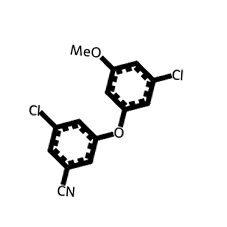 COc1cc(Cl)cc(Oc2cc(Cl)cc(C#N)c2)c1